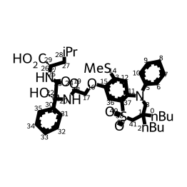 CCCCC1(CCCC)CN(c2ccccc2)c2cc(SC)c(OCC(=O)N[C@](O)(C(=O)N[C@@H](CC(C)C)C(=O)O)c3ccccc3)cc2S(=O)(=O)C1